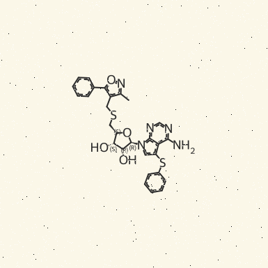 Cc1noc(-c2ccccc2)c1CSC[C@H]1O[C@@H](n2cc(Sc3ccccc3)c3c(N)ncnc32)[C@H](O)[C@@H]1O